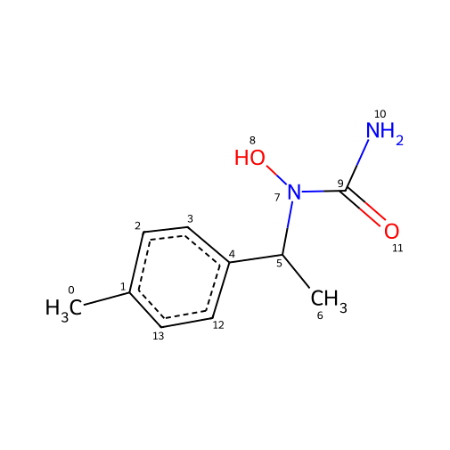 Cc1ccc(C(C)N(O)C(N)=O)cc1